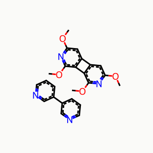 COc1cc2c(c(OC)n1)-c1c-2cc(OC)nc1OC.c1cncc(-c2cccnc2)c1